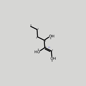 CCCC(O)/C(O)=C/O